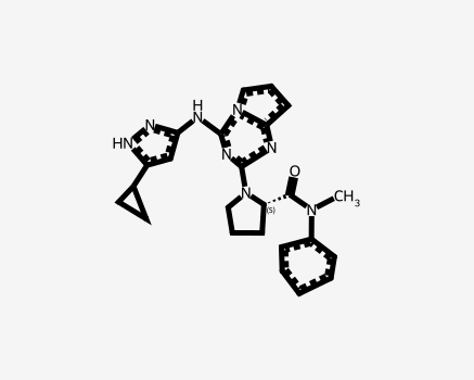 CN(C(=O)[C@@H]1CCCN1c1nc(Nc2cc(C3CC3)[nH]n2)n2cccc2n1)c1ccccc1